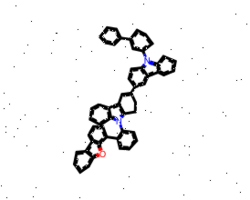 C1=C(c2ccc3c(c2)c2ccccc2n3-c2cccc(-c3ccccc3)c2)CCc2c1c1ccccc1n2-c1ccccc1-c1cccc2c1oc1ccccc12